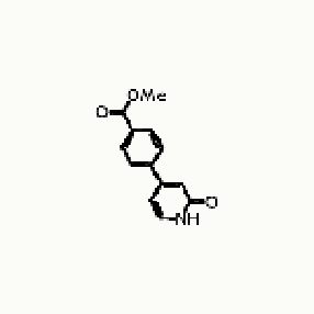 COC(=O)c1ccc(-c2cc[nH]c(=O)c2)cc1